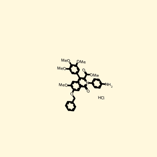 COC(=O)c1c(-c2cc(OC)c(OC)c(OC)c2)c2cc(OC)c(OCc3ccccc3)cc2c(=O)n1-c1ccc(N)cc1.Cl